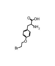 NC(Cc1ccc(OCCBr)cc1)C(=O)O